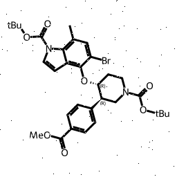 COC(=O)c1ccc([C@@H]2CN(C(=O)OC(C)(C)C)CC[C@H]2Oc2c(Br)cc(C)c3c2ccn3C(=O)OC(C)(C)C)cc1